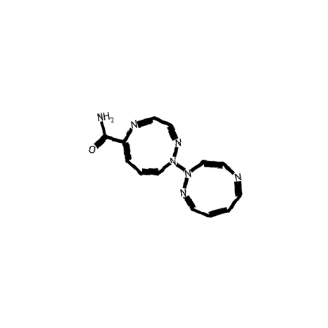 NC(=O)c1cccn(-n2ccnccccn2)nccn1